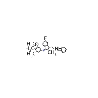 COc1cc(/C=C2/C(C)=C(CCNCc3ccccc3)c3cc(F)ccc32)cc(C)c1C